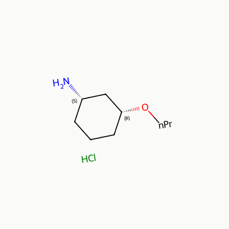 CCCO[C@@H]1CCC[C@H](N)C1.Cl